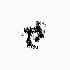 COc1cc(C(N)=O)cc2nc(NC(=O)c3cc(C)nn3CC3COC(C)(C)O3)n(C/C=C/CNc3c(OCCCN4CCN(C(=O)OC(C)(C)C)CC4)cc(C(N)=O)cc3[N+](=O)[O-])c12